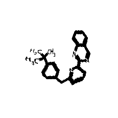 CC(C)(C)c1ccc(Cc2cccc(-c3ncc4ccccc4n3)n2)cc1